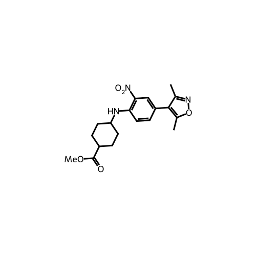 COC(=O)C1CCC(Nc2ccc(-c3c(C)noc3C)cc2[N+](=O)[O-])CC1